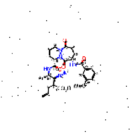 C=CCC(C(=O)O)C(=[N+]=[N-])[C@H](NC(=O)[C@@H]1CCCN2C(=O)CC[C@H](NC(=O)c3cccc(OC)c3)C(=O)N12)C(C)=O